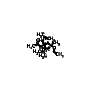 CCO[Si](C)(C)CC(CN(C)C)(CN(C)C)CN(C)C